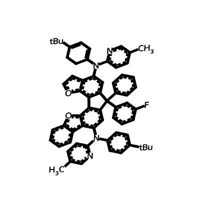 Cc1ccc(N(C2=CC=C(C(C)(C)C)CC2)c2cc3c(c4occc24)-c2c(cc(N(c4ccc(C(C)(C)C)cc4)c4ccc(C)cn4)c4c2oc2ccccc24)C3(c2ccccc2)c2cccc(F)c2)nc1